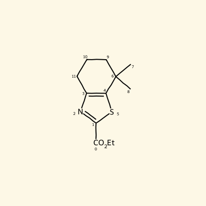 CCOC(=O)c1nc2c(s1)C(C)(C)CCC2